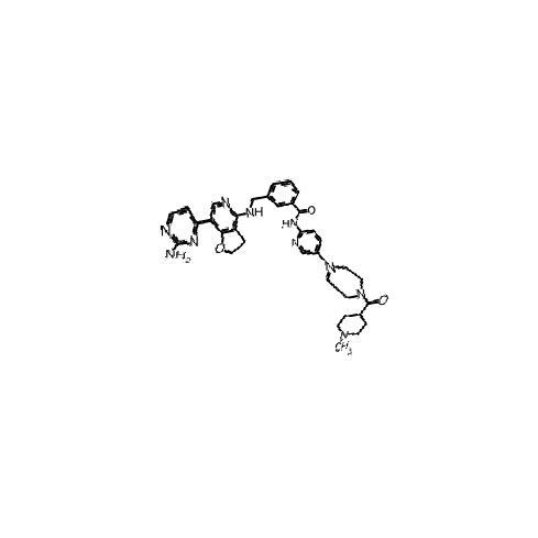 CN1CCC(C(=O)N2CCN(c3ccc(NC(=O)c4cccc(CNc5ncc(-c6ccnc(N)n6)c6c5CCO6)c4)nc3)CC2)CC1